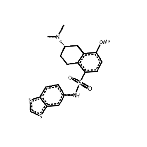 COc1ccc(S(=O)(=O)Nc2ccc3ncsc3c2)c2c1C[C@@H](N(C)C)CC2